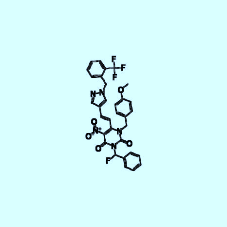 COc1ccc(Cn2c(C=Cc3cnn(Cc4ccccc4C(F)(F)F)c3)c([N+](=O)[O-])c(=O)n(C(F)c3ccccc3)c2=O)cc1